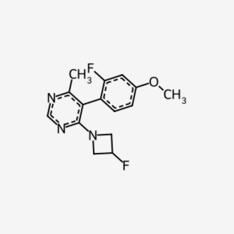 COc1ccc(-c2c(C)ncnc2N2CC(F)C2)c(F)c1